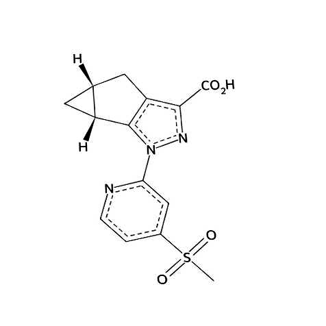 CS(=O)(=O)c1ccnc(-n2nc(C(=O)O)c3c2[C@@H]2C[C@@H]2C3)c1